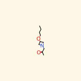 CCCCOC1CN(CC(C)=O)C1